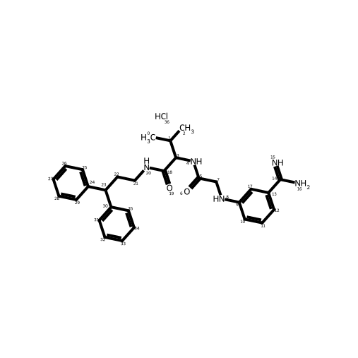 CC(C)C(NC(=O)CNc1cccc(C(=N)N)c1)C(=O)NCCC(c1ccccc1)c1ccccc1.Cl